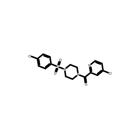 O=C(c1cc(Cl)ccn1)N1CCN(S(=O)(=O)c2ccc(Cl)cc2)CC1